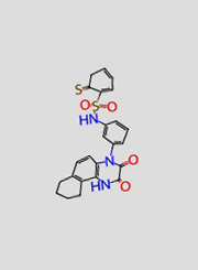 O=c1[nH]c2c3c(ccc2n(-c2cccc(NS(=O)(=O)C4=CC=CCC4=S)c2)c1=O)CCCC3